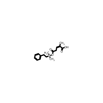 CC(=CCC(=O)O[Si](C)(C)CCc1ccccc1)C(=O)O